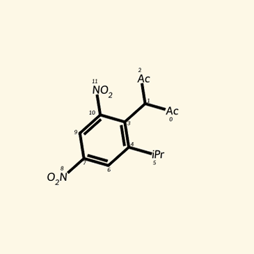 CC(=O)C(C(C)=O)c1c(C(C)C)cc([N+](=O)[O-])cc1[N+](=O)[O-]